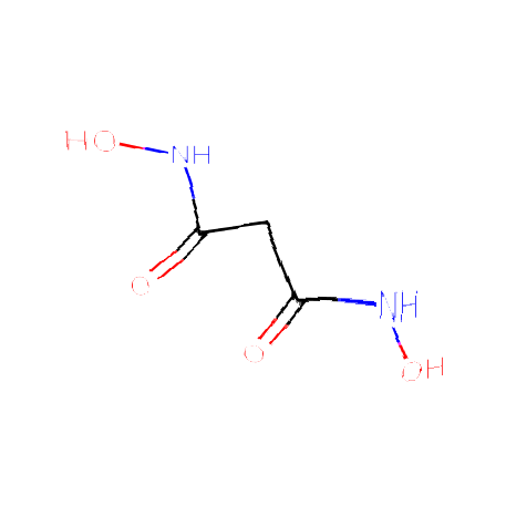 O=C(CC(=O)NO)NO